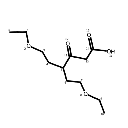 CCOCCC(CCOCC)C(=O)CC(=O)O